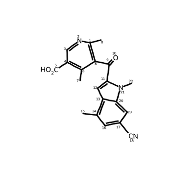 Cc1ncc(C(=O)O)c(C)c1C(=O)c1cc2c(C)cc(C#N)cc2n1C